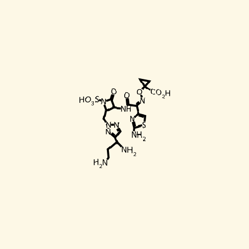 NCCC(N)c1cnn(CC2C(NC(=O)/C(=N\OC3(C(=O)O)CC3)c3csc(N)n3)C(=O)N2S(=O)(=O)O)n1